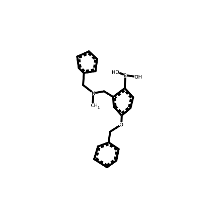 CN(Cc1ccccc1)Cc1cc(OCc2ccccc2)ccc1B(O)O